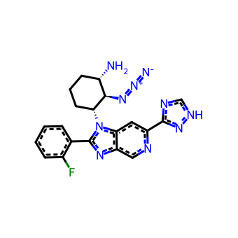 [N-]=[N+]=N[C@H]1[C@H](n2c(-c3ccccc3F)nc3cnc(-c4nc[nH]n4)cc32)CCC[C@@H]1N